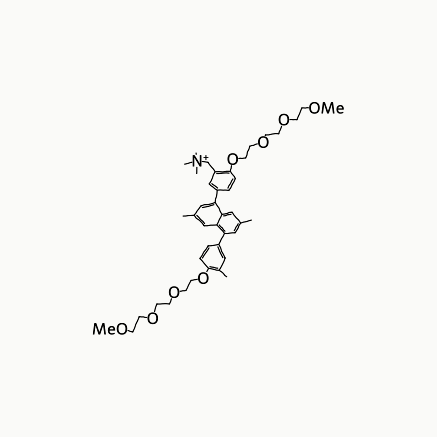 COCCOCCOCCOc1ccc(-c2cc(C)cc3c(-c4ccc(OCCOCCOCCOC)c(C[N+](C)(C)C)c4)cc(C)cc23)cc1C